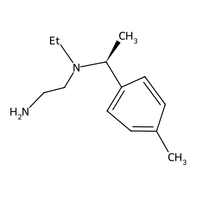 CCN(CCN)[C@@H](C)c1ccc(C)cc1